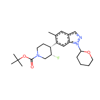 Cc1cc2cnn(C3CCCCO3)c2cc1[C@H]1CCN(C(=O)OC(C)(C)C)C[C@H]1F